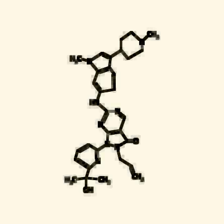 C=CCn1c(=O)c2cnc(Nc3ccc4c(C5CCN(C)CC5)cn(C)c4c3)nc2n1-c1cccc(C(C)(C)O)n1